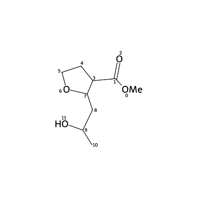 COC(=O)C1CCOC1CC(C)O